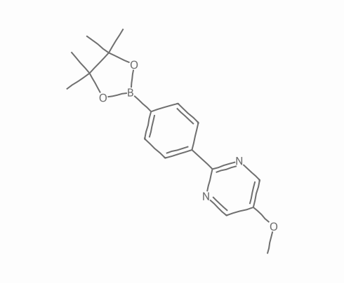 COc1cnc(-c2ccc(B3OC(C)(C)C(C)(C)O3)cc2)nc1